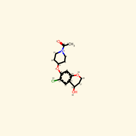 CC(=O)N1CCC(Oc2cc3c(cc2Cl)C(O)CCO3)CC1